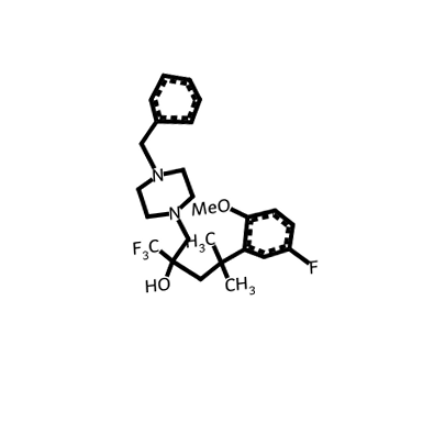 COc1ccc(F)cc1C(C)(C)CC(O)(CN1CCN(Cc2ccccc2)CC1)C(F)(F)F